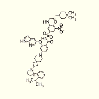 CC(C)c1ccccc1[C@H]1CCCN1C1CC2(CCN(c3ccc(C(=O)NS(=O)(=O)c4cc5c(c([N+](=O)[O-])c4)O[C@@H](CC4CCC(C)(C)CC4)CN5)c(Oc4cnc5[nH]ccc5c4)c3)CC2)C1